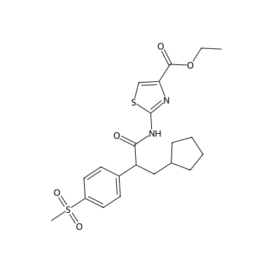 CCOC(=O)c1csc(NC(=O)C(CC2CCCC2)c2ccc(S(C)(=O)=O)cc2)n1